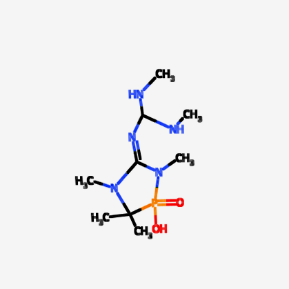 CNC(N=C1N(C)C(C)(C)P(=O)(O)N1C)NC